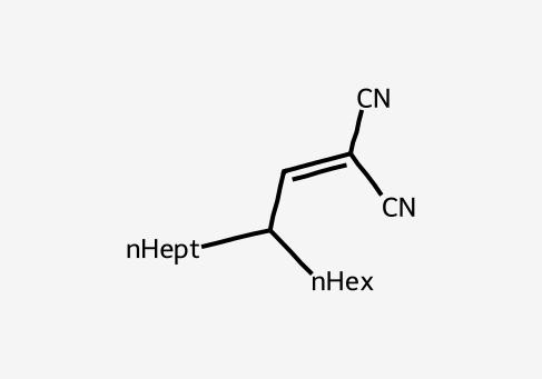 CCCCCCCC(C=C(C#N)C#N)CCCCCC